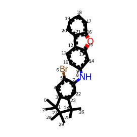 CC1(C)c2cc(Br)c(Nc3ccc4c(c3)oc3ccccc34)cc2C(C)(C)C1(C)C